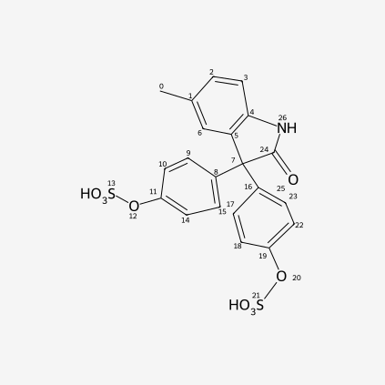 Cc1ccc2c(c1)C(c1ccc(OS(=O)(=O)O)cc1)(c1ccc(OS(=O)(=O)O)cc1)C(=O)N2